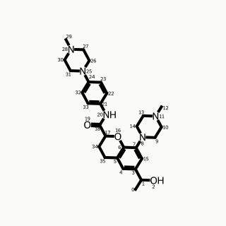 CC(O)c1cc2c(c(N3CCN(C)CC3)c1)OC(C(=O)Nc1ccc(N3CCN(C)CC3)cc1)CC2